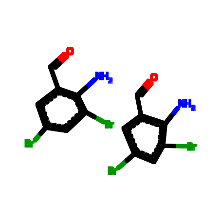 Nc1c(Br)cc(Br)cc1C=O.Nc1c(Br)cc(Br)cc1C=O